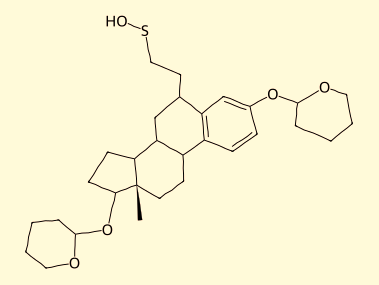 C[C@]12CCC3c4ccc(OC5CCCCO5)cc4C(CCSO)CC3C1CCC2OC1CCCCO1